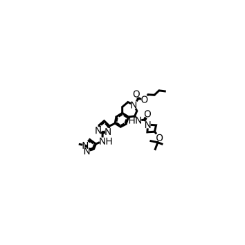 CCCCOC(=O)N1CCc2cc(-c3ccnc(Nc4cnn(C)c4)n3)ccc2C(NC(=O)N2CC(OC(C)(C)C)C2)C1